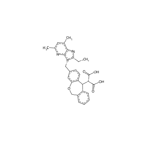 CCc1nc2c(C)cc(C)nc2n1Cc1ccc2c(c1)OCc1ccccc1C2C(C(=O)O)C(=O)O